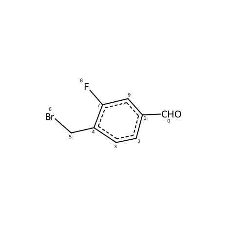 O=Cc1ccc(CBr)c(F)c1